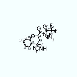 NN(C(=O)C1CC2(CNC=N2)c2ccccc2O1)C(=O)C(F)(F)F